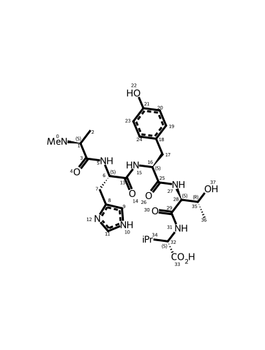 CN[C@@H](C)C(=O)N[C@@H](Cc1c[nH]cn1)C(=O)N[C@@H](Cc1ccc(O)cc1)C(=O)N[C@H](C(=O)N[C@H](C(=O)O)C(C)C)[C@@H](C)O